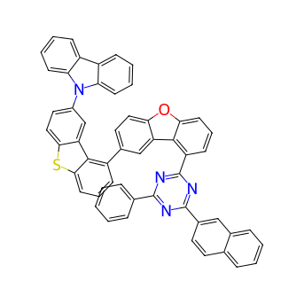 c1ccc(-c2nc(-c3ccc4ccccc4c3)nc(-c3cccc4oc5ccc(-c6cccc7sc8ccc(-n9c%10ccccc%10c%10ccccc%109)cc8c67)cc5c34)n2)cc1